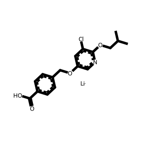 CC(C)COc1ncc(OCc2ccc(C(=O)O)cc2)cc1Cl.[Li]